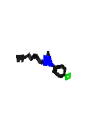 CC(C)CCCCN(C)c1ccc(Cl)cc1